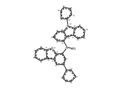 CCN(c1cc(-c2ccccc2)cc2c1sc1ccccc12)c1cccc2c1c1ccccc1n2-c1ccccc1